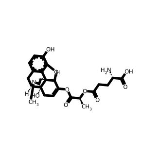 C[C@H](OC(=O)CC[C@H](N)C(=O)O)C(=O)OC1=CC[C@@]2(O)[C@H]3Cc4ccc(O)c5c4[C@@]2(CCN3C)[C@H]1O5